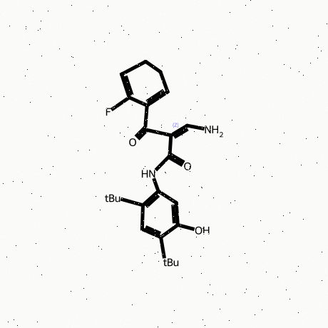 CC(C)(C)c1cc(C(C)(C)C)c(NC(=O)/C(=C\N)C(=O)C2=CCCC=C2F)cc1O